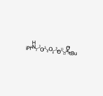 CC(C)NCCOCCOCCOCCC(=O)C(C)(C)C